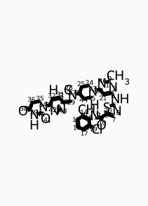 Cc1nc(Nc2ncc(C(=O)Nc3c(C)cccc3Cl)s2)cc(N2CCC(N(C)Cc3ccc(N4CCC(=O)NC4=O)nn3)CC2)n1